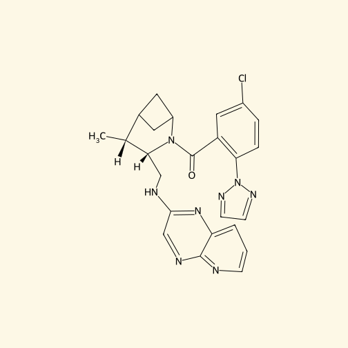 C[C@@H]1C2CC(C2)N(C(=O)c2cc(Cl)ccc2-n2nccn2)[C@@H]1CNc1cnc2ncccc2n1